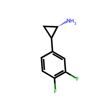 N[C@H]1CC1c1ccc(F)c(F)c1